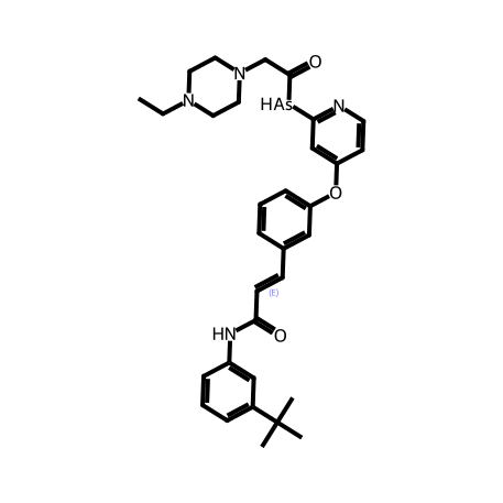 CCN1CCN(CC(=O)[AsH]c2cc(Oc3cccc(/C=C/C(=O)Nc4cccc(C(C)(C)C)c4)c3)ccn2)CC1